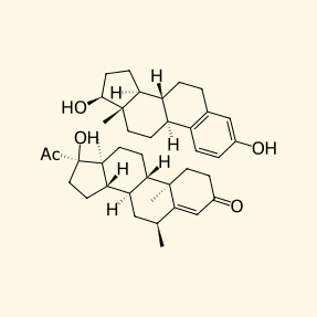 CC(=O)[C@@]1(O)CC[C@H]2[C@@H]3C[C@H](C)C4=CC(=O)CC[C@]4(C)[C@H]3CC[C@@]21C.C[C@]12CC[C@@H]3c4ccc(O)cc4CC[C@H]3[C@@H]1CC[C@@H]2O